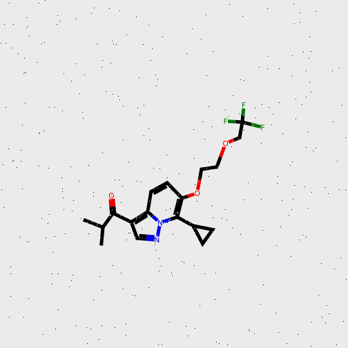 CC(C)C(=O)c1cnn2c(C3CC3)c(OCCOCC(F)(F)F)ccc12